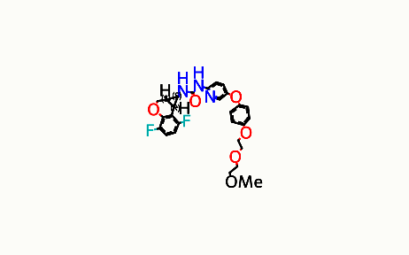 COCCOCCOc1ccc(Oc2ccc(NC(=O)N[C@@H]3[C@H]4COc5c(F)ccc(F)c5[C@@H]43)nc2)cc1